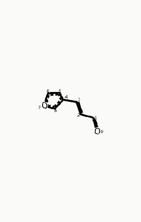 O=CC=Cc1ccoc1